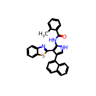 Cc1ccccc1C(=O)Nc1[nH]cc(-c2cccc3ccccc23)c1-c1nc2ccccc2s1